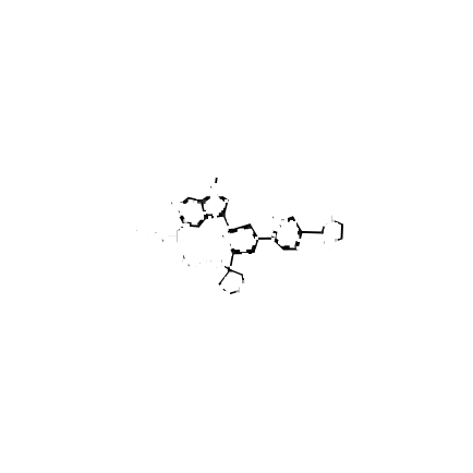 COC1(c2cc(-c3ccc(C4OCCO4)cn3)cc(-c3cn(C)c4cnc(NC(C)=O)cc34)n2)CCOC1